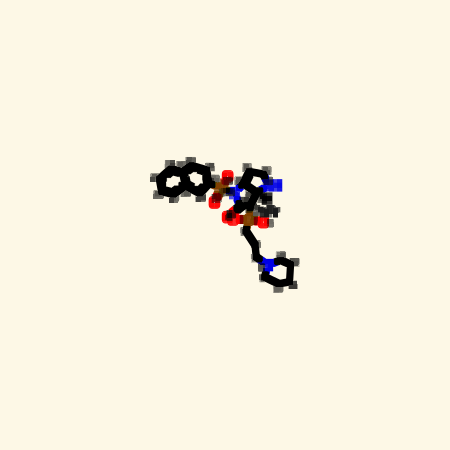 CCC[C@]1(S(=O)(=O)CCCN2CCCCC2)C(=O)N(S(=O)(=O)c2ccc3ccccc3c2)C2=CCN[C@H]21